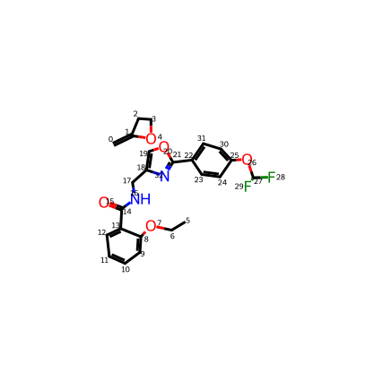 C=C1CCO1.CCOc1ccccc1C(=O)NCc1coc(-c2ccc(OC(F)F)cc2)n1